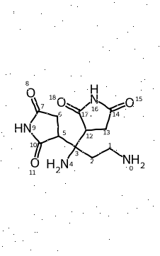 NCCC(N)(C1CC(=O)NC1=O)C1CC(=O)NC1=O